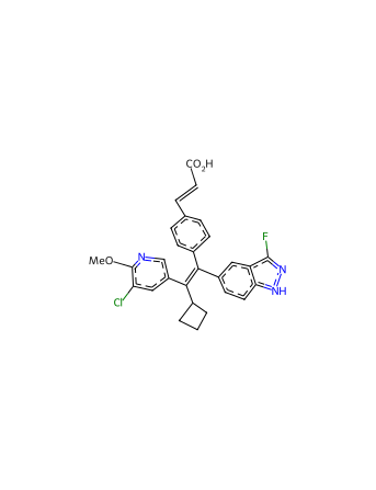 COc1ncc(/C(=C(\c2ccc(/C=C/C(=O)O)cc2)c2ccc3[nH]nc(F)c3c2)C2CCC2)cc1Cl